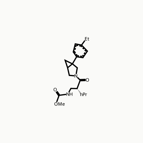 CCC[C@H](CNC(=O)OC)C(=O)N1CC2CC2(c2ccc(CC)cc2)C1